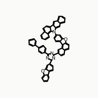 c1ccc(-c2ccc(-c3nc(-c4ccc5c(c4)oc4ccccc45)nc(-c4ccc5ccc6oc7cc(-n8c9cc%10ccccc%10cc9c9ccc%10ccccc%10c98)ccc7c6c5c4)n3)cc2)cc1